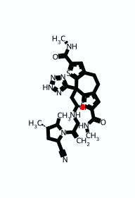 C=C(CN[C@H](C)CC1(c2nn[nH]n2)c2sc(C(=O)NC)cc2CCc2cc(C(=O)NC)sc21)N1C(C#N)C[C@H](C)C1C